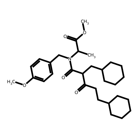 COC(=O)C(C)N(Cc1ccc(OC)cc1)C(=O)C(CC1CCCCC1)C(=O)CCC1CCCCC1